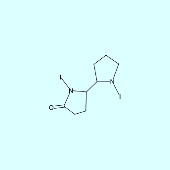 O=C1CCC(C2CCCN2I)N1I